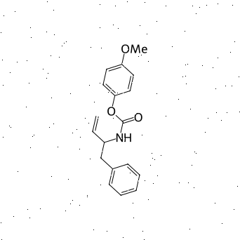 C=CC(Cc1ccccc1)NC(=O)Oc1ccc(OC)cc1